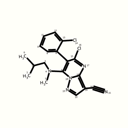 CC(C)CN(C)c1c(-c2ccccc2Cl)c(Cl)nc2c(C#N)cnn12